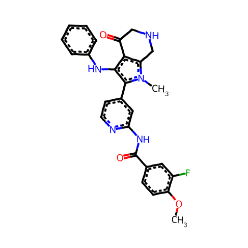 COc1ccc(C(=O)Nc2cc(-c3c(Nc4ccccc4)c4c(n3C)CNCC4=O)ccn2)cc1F